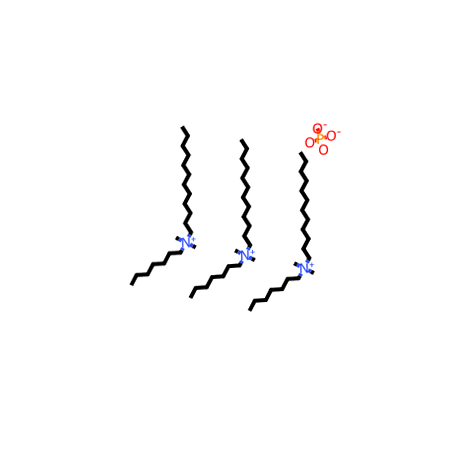 CCCCCCCCCCCC[N+](C)(C)CCCCCCC.CCCCCCCCCCCC[N+](C)(C)CCCCCCC.CCCCCCCCCCCC[N+](C)(C)CCCCCCC.O=P([O-])([O-])[O-]